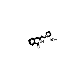 O=c1[nH]c(CCN2CCC[C@@H]2CO)cc2ccccc12